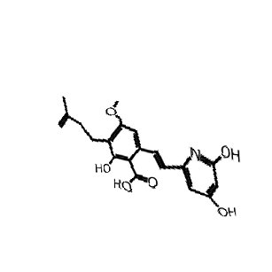 C=C(C)CCc1c(OC)cc(/C=C/c2cc(O)cc(O)n2)c(C(=O)O)c1O